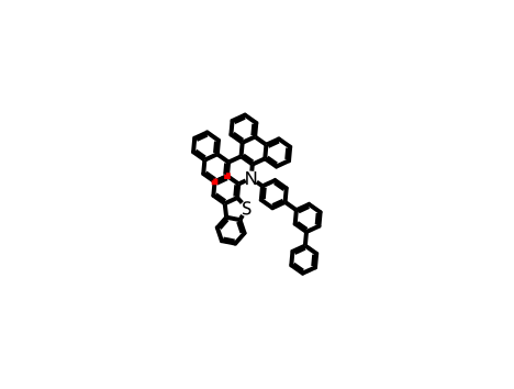 c1ccc(-c2cccc(-c3ccc(N(c4c(-c5cccc6ccccc56)c5ccccc5c5ccccc45)c4cccc5c4sc4ccccc45)cc3)c2)cc1